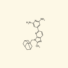 Cc1nc2ccc(-c3cc(N)nc(N)c3)nc2n1CC12CC3CC(CC(C3)C1)C2